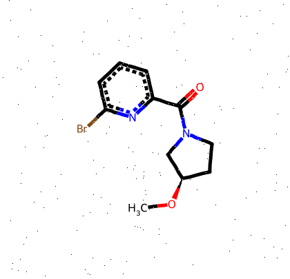 CO[C@@H]1CCN(C(=O)c2cccc(Br)n2)C1